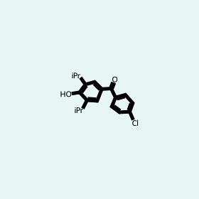 CC(C)c1cc(C(=O)c2ccc(Cl)cc2)cc(C(C)C)c1O